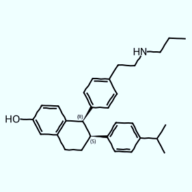 CCCNCCc1ccc([C@@H]2c3ccc(O)cc3CC[C@@H]2c2ccc(C(C)C)cc2)cc1